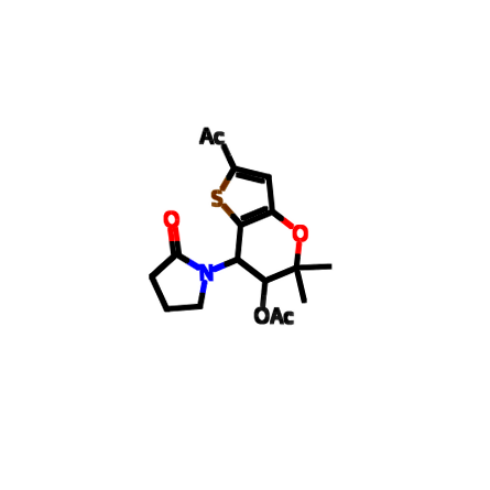 CC(=O)OC1C(N2CCCC2=O)c2sc(C(C)=O)cc2OC1(C)C